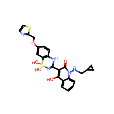 O=c1c(C2=NS(O)(O)c3cc(OCc4nccs4)ccc3N2)c(O)c2ccccc2n1NCC1CC1